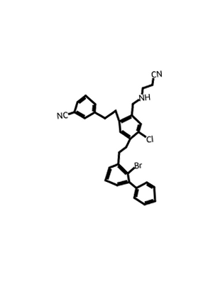 N#CCCNCc1cc(Cl)c(CCc2cccc(-c3ccccc3)c2Br)cc1CCc1cccc(C#N)c1